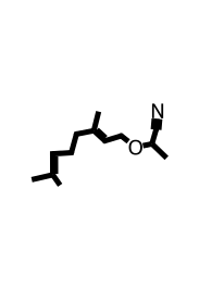 CC(C)=CCCC(C)=CCOC(C)C#N